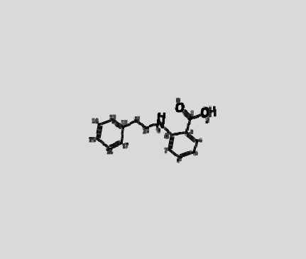 O=C(O)c1ccccc1NCCc1ccccc1